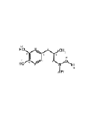 CCCN(CC(C)Cc1ccc(O)c(O)c1)OCC